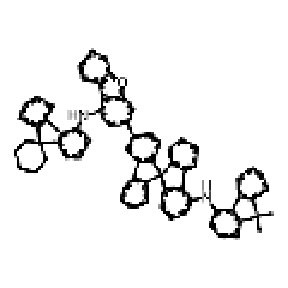 CC1(C)c2ccccc2-c2c(Nc3cccc4c3-c3ccccc3C43c4ccccc4-c4cc(-c5cc(Nc6cccc7c6-c6ccccc6C76CCCCC6)c6c(c5)oc5ccccc56)ccc43)cccc21